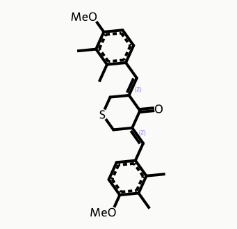 COc1ccc(/C=C2\CSC/C(=C\c3ccc(OC)c(C)c3C)C2=O)c(C)c1C